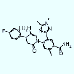 Cc1cc(N2C=C(C(=O)O)[C@H](c3ccc(F)cc3)CC2=O)c(-c2nc(C)n(C)n2)cc1C(N)=O